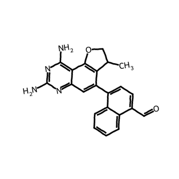 CC1COc2c1c(-c1ccc(C=O)c3ccccc13)cc1nc(N)nc(N)c21